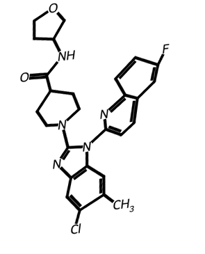 Cc1cc2c(cc1Cl)nc(N1CCC(C(=O)NC3CCOC3)CC1)n2-c1ccc2cc(F)ccc2n1